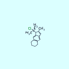 CC1=Cc2cc3c(cc2C1[Si](C)(C)Cl)CCCC3